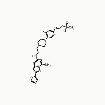 CS(=O)(=O)CCOc1ccc(N2CCN(CCNc3nc(N)n4nc(-c5ccco5)cc4n3)CC2)c(F)c1